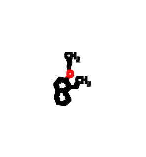 C=CCOc1ccc2ccccc2c1C=C